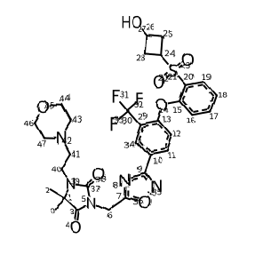 CC1(C)C(=O)N(Cc2nc(-c3ccc(Oc4ccccc4S(=O)(=O)C4CC(O)C4)c(C(F)(F)F)c3)no2)C(=O)N1CCN1CCOCC1